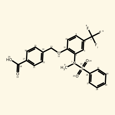 CN(c1cc(C(F)(F)F)ccc1OCc1ccc(C(=O)O)cc1)S(=O)(=O)c1ccccc1